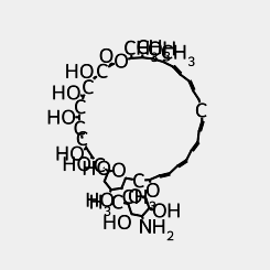 CC1OC(OC2/C=C/C=C/C=C/C=C/CC/C=C/C=C/C(C)[C@@H](O)C(C)C(C)OC(=O)CC(O)CC(O)CC(O)CCC(O)C(O)C[C@]3(O)CC(O)C(C)C(C2)O3)C(O)C(N)C1O